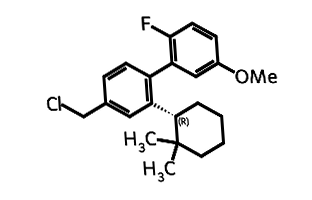 COc1ccc(F)c(-c2ccc(CCl)cc2[C@@H]2CCCCC2(C)C)c1